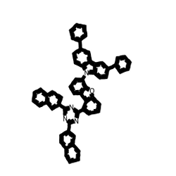 c1ccc(-c2ccc3c(c2)c2cc(-c4ccccc4)ccc2n3-c2cccc3c2oc2cccc(-c4nc(-c5ccc6ccccc6c5)nc(-c5ccc6ccccc6c5)n4)c23)cc1